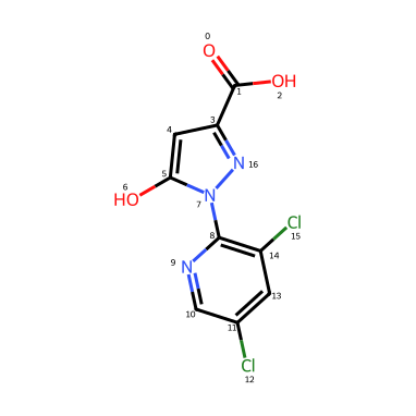 O=C(O)c1cc(O)n(-c2ncc(Cl)cc2Cl)n1